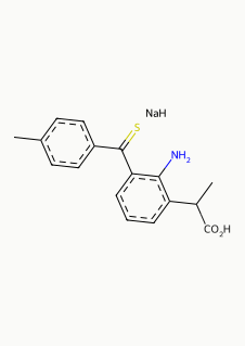 Cc1ccc(C(=S)c2cccc(C(C)C(=O)O)c2N)cc1.[NaH]